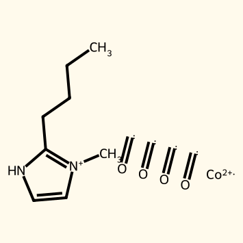 CCCCc1[nH]cc[n+]1C.[C]=O.[C]=O.[C]=O.[C]=O.[Co+2]